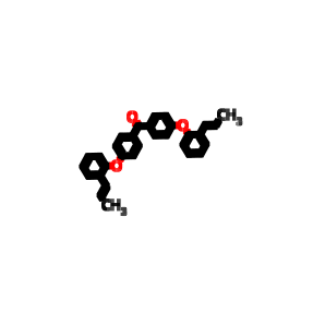 CC=Cc1ccccc1Oc1ccc(C(=O)c2ccc(Oc3ccccc3C=CC)cc2)cc1